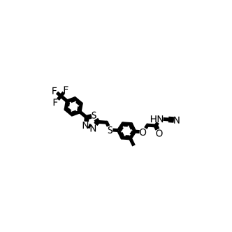 Cc1cc(SCc2nnc(-c3ccc(C(F)(F)F)cc3)s2)ccc1OCC(=O)NC#N